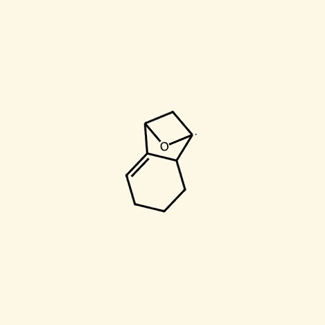 C1=C2C3C[C](O3)C2CCC1